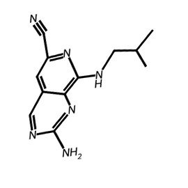 CC(C)CNc1nc(C#N)cc2cnc(N)nc12